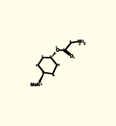 CN[C@H]1CC[C@H](OC(=O)CN)CC1